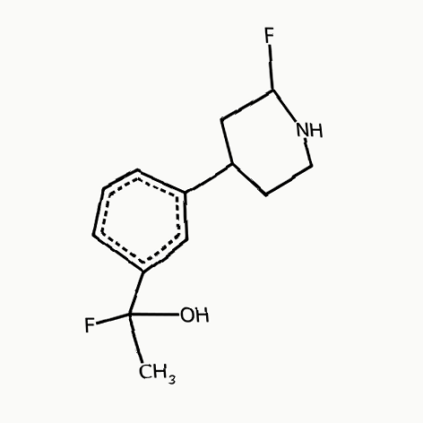 CC(O)(F)c1cccc(C2CCNC(F)C2)c1